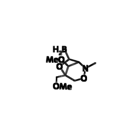 BC1OC2(COC)CON(C)C1C2OC